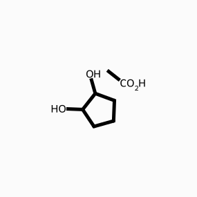 CC(=O)O.OC1CCCC1O